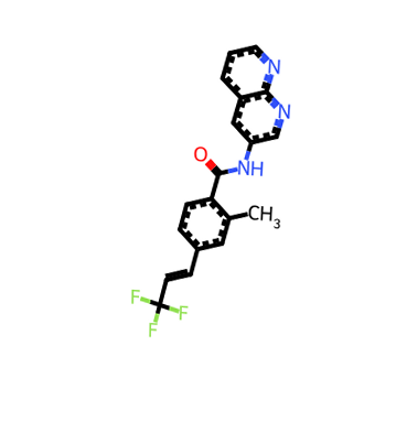 Cc1cc(/C=C/C(F)(F)F)ccc1C(=O)Nc1cnc2ncccc2c1